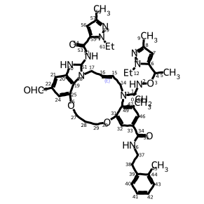 C=C(NOC(C)c1cc(C)nn1CC)N1C/C=C/CN2c3c(cc(C=O)cc3OCCCOc3cc(C(=O)NCCc4ccccc4C)cc(C)c31)NC2NC(=O)c1cc(C)nn1CC